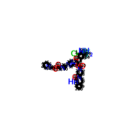 Nc1c(Cl)cc(C[C@@H](OC(=O)N2CCC(N3CCc4ccccc4NC3=O)CC2)C(=O)N2CCN(C3CN(CC(=O)OCCN4CCCCC4)C3)CC2)cc1C(F)(F)F